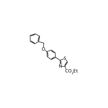 CCOC(=O)c1csc(-c2ccc(OCc3ccccc3)cc2)n1